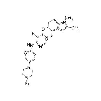 CCN1CCN(c2ccc(Nc3ncnc(OC4CC=c5c(cc(C)n5C)=C4F)c3F)nc2)CC1